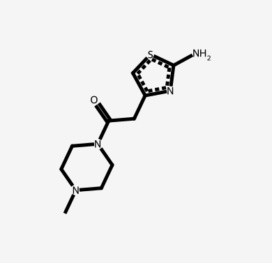 CN1CCN(C(=O)Cc2csc(N)n2)CC1